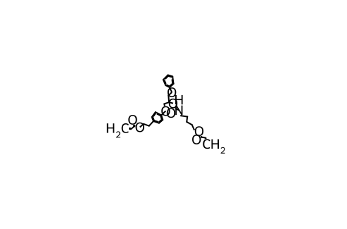 C=CC(=O)OCCCCCNC(=O)OC(COc1ccccc1)COc1ccc(CCOC(=O)C=C)cc1